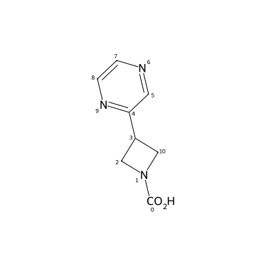 O=C(O)N1CC(c2cnccn2)C1